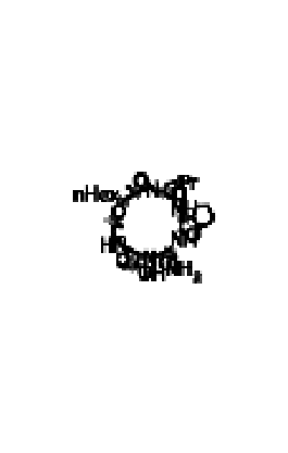 CCCCCC[C@H]1O[C@@H](C)CNC(=O)[C@H]([C@H](C)O)NC(=O)[C@H](CN)NC(=O)[C@H](C2CCCCC2)NC(=O)[C@H](CC(C)C)N(C)C(=O)[C@@H]1C